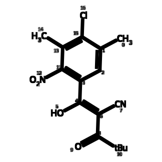 Cc1cc(/C(O)=C(\C#N)C(=O)C(C)(C)C)c([N+](=O)[O-])c(C)c1Cl